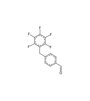 O=Cc1ccc(Cc2c(F)c(F)c(F)c(F)c2F)cc1